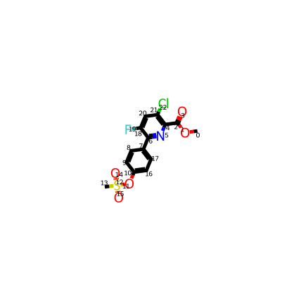 COC(=O)c1nc(-c2ccc(OS(C)(=O)=O)cc2)c(F)cc1Cl